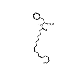 CCC/C=C\C/C=C\C/C=C\CCCCCCC(=O)NC(Cc1ccccc1)C(=O)O